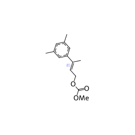 COC(=O)OC/C=C(\C)c1cc(C)cc(C)c1